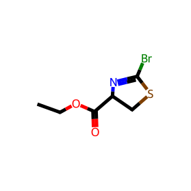 CCOC(=O)C1CSC(Br)=N1